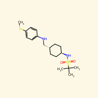 CSc1ccc(NC[C@H]2CC[C@H](NS(=O)(=O)C(C)(C)C)CC2)cc1